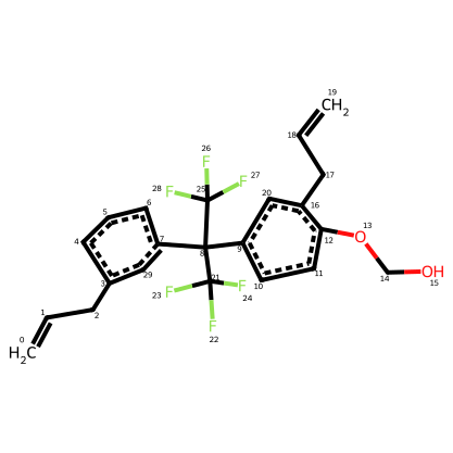 C=CCc1cccc(C(c2ccc(OCO)c(CC=C)c2)(C(F)(F)F)C(F)(F)F)c1